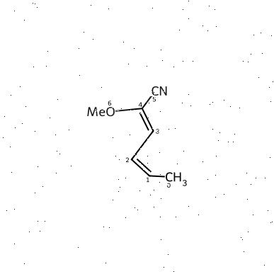 C/C=C\C=C(\C#N)OC